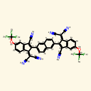 N#CC(C#N)=C1C(c2ccc3cc(C4=C(C#N)c5cc(OC(F)(F)F)ccc5C4=C(C#N)C#N)ccc3c2)=C(C#N)c2cc(OC(F)(F)F)ccc21